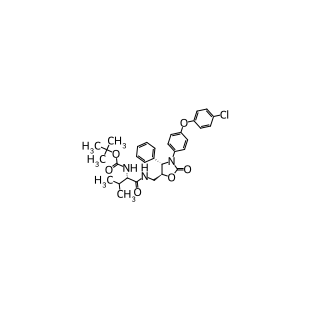 CC(C)[C@H](NC(=O)OC(C)(C)C)C(=O)NC[C@@H]1OC(=O)N(c2ccc(Oc3ccc(Cl)cc3)cc2)[C@H]1c1ccccc1